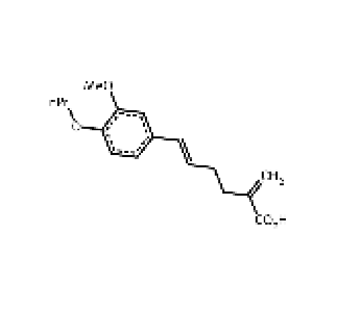 C=C(CCC=Cc1ccc(OCCC)c(OC)c1)C(=O)O